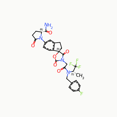 C[C@H](N(Cc1ccc(F)cc1)C(=O)CN1C(=O)O[C@@]2(CCc3cc(N4C(=O)CC[C@@H]4C(N)=O)ccc32)C1=O)C(F)(F)F